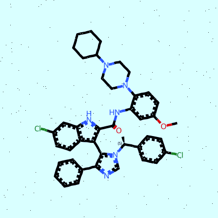 COc1ccc(N2CCN(C3CCCCC3)CC2)c(NC(=O)c2[nH]c3cc(Cl)ccc3c2-c2c(-c3ccccc3)ncn2[C@@H](C)c2ccc(Cl)cc2)c1